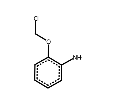 [NH]c1ccccc1OCCl